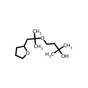 CC(C)(O)CCOC(C)(C)CC1CCCO1